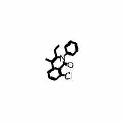 CCc1c(C)c2cccc(Cl)c2c(=O)n1-c1ccccc1